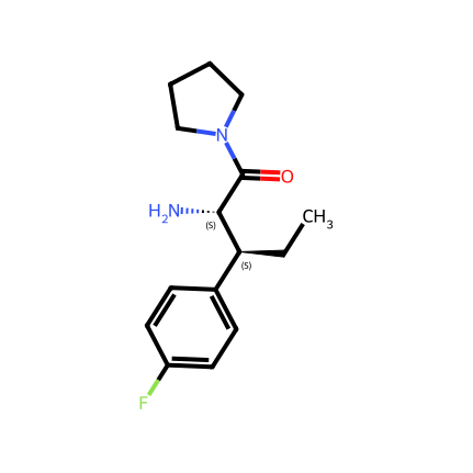 CC[C@@H](c1ccc(F)cc1)[C@H](N)C(=O)N1CCCC1